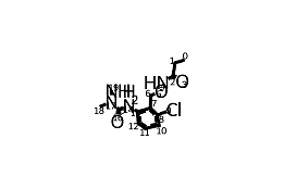 CCC(=O)NOCc1c(Cl)cccc1NC(=O)N(C)N